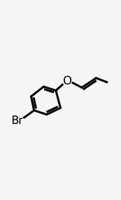 CC=COc1ccc(Br)cc1